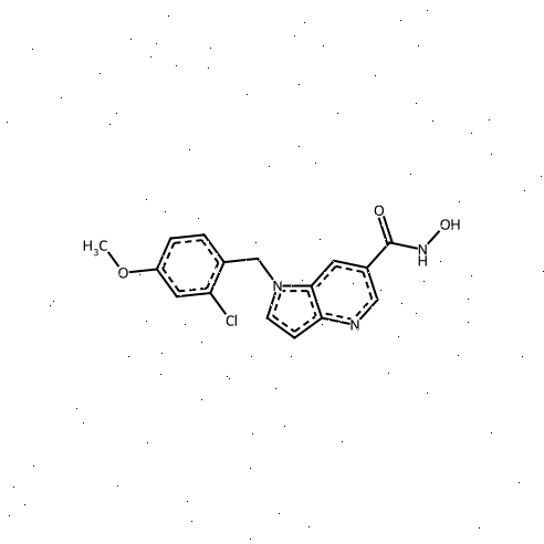 COc1ccc(Cn2ccc3ncc(C(=O)NO)cc32)c(Cl)c1